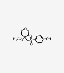 COC1(CS(=O)(=O)c2ccc(O)cc2)CCOCC1